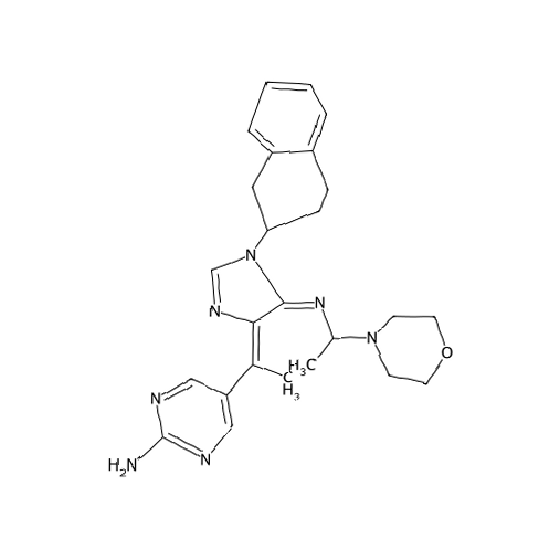 C/C(=C1/N=CN(C2CCc3ccccc3C2)/C1=N/C(C)N1CCOCC1)c1cnc(N)nc1